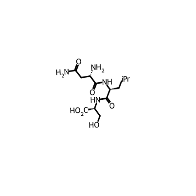 CC(C)C[C@H](NC(=O)[C@@H](N)CC(N)=O)C(=O)N[C@@H](CO)C(=O)O